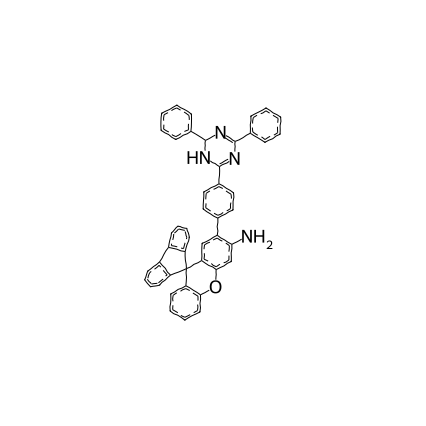 Nc1cc2c(cc1-c1ccc(C3=NC(c4ccccc4)=NC(c4ccccc4)N3)cc1)C1(c3ccccc3O2)c2ccccc2-c2ccccc21